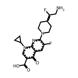 NCC(F)=C1CCN(c2nc3c(cc2F)c(=O)c(C(=O)O)cn3C2CC2)CC1